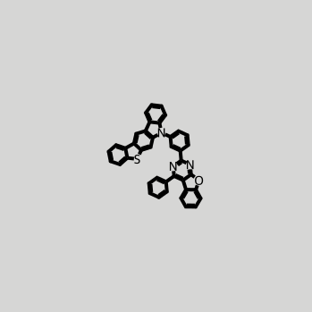 c1ccc(-c2nc(-c3cccc(-n4c5ccccc5c5cc6c(cc54)sc4ccccc46)c3)nc3oc4ccccc4c23)cc1